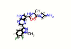 C[C@@H](NC(=O)c1c[nH]c2ncc(-c3nn(C)c4c(F)c(F)ccc34)nc12)C(=O)N1CC(N)C1